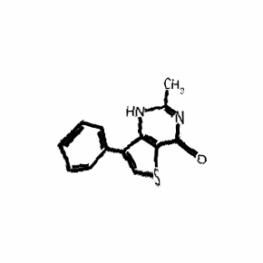 Cc1nc(=O)c2scc(-c3ccccc3)c2[nH]1